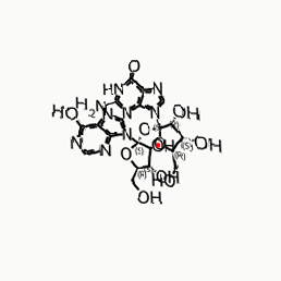 Nc1nc2c(ncn2[C@]2(O[C@@]3(n4cnc5c(O)ncnc54)O[C@H](CO)[C@@H](O)C3O)O[C@H](CO)[C@@H](O)[C@H]2O)c(=O)[nH]1